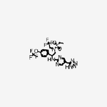 CCS(=O)(=O)N(CC(Nc1ncc(-c2nnn[nH]2)cn1)c1ccc(OC(F)(F)F)cc1)CC(F)(F)F